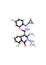 CNn1c(C)c(C(=O)N[C@H](c2ccc(F)cc2)C2CC2)c2cccc(F)c2c1=O